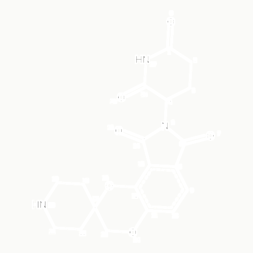 O=C1CCC(N2C(=O)c3ccc4c(c3C2=O)OC2(CCNCC2)CO4)C(=O)N1